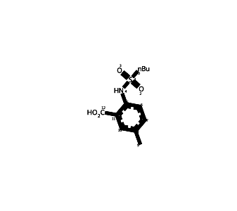 CCCCS(=O)(=O)Nc1ccc(C)cc1C(=O)O